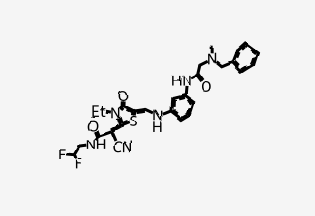 CCn1c(=C(C#N)C(=O)NCC(F)F)sc(=CNc2cccc(NC(=O)CN(C)Cc3ccccc3)c2)c1=O